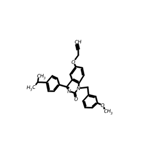 C#CCOc1ccc2c(c1)c(-c1ccc(C(C)C)cc1)nc(=O)n2Cc1cccc(OC)c1